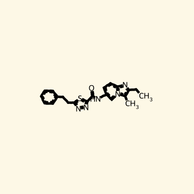 CCc1nc2ccc(NC(=O)c3nnc(CCc4ccccc4)s3)cn2c1C